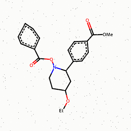 CCOC1CCN(OC(=O)c2ccccc2)C(c2ccc(C(=O)OC)cc2)C1